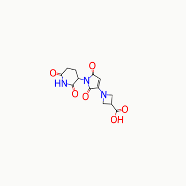 O=C1CCC(N2C(=O)C=C(N3CC(C(=O)O)C3)C2=O)C(=O)N1